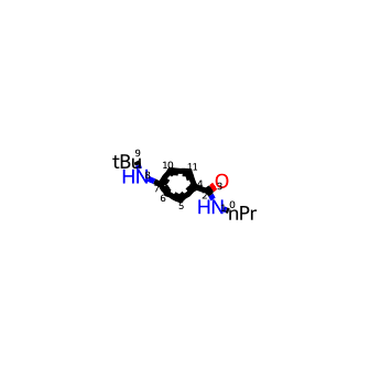 CCCNC(=O)c1ccc(NC(C)(C)C)cc1